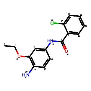 CCOc1cc(NC(=O)c2ccccc2Cl)ccc1N